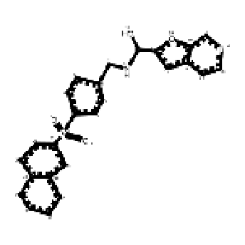 O=S(=O)(c1ccc(CNC(O)c2cc3ccncc3o2)cc1)c1ccc2ccccc2c1